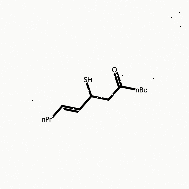 CCC/C=C/C(S)CC(=O)CCCC